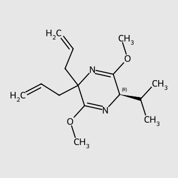 C=CCC1(CC=C)N=C(OC)[C@@H](C(C)C)N=C1OC